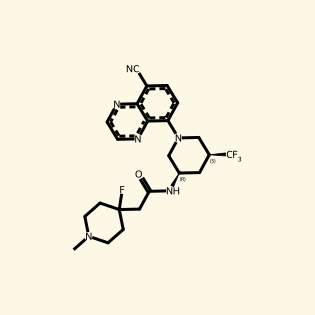 CN1CCC(F)(CC(=O)N[C@@H]2C[C@H](C(F)(F)F)CN(c3ccc(C#N)c4nccnc34)C2)CC1